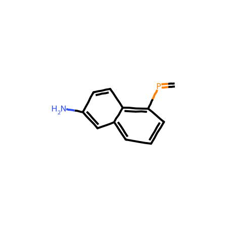 C=Pc1cccc2cc(N)ccc12